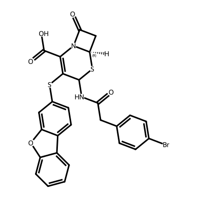 O=C(Cc1ccc(Br)cc1)NC1S[C@@H]2CC(=O)N2C(C(=O)O)=C1Sc1ccc2c(c1)oc1ccccc12